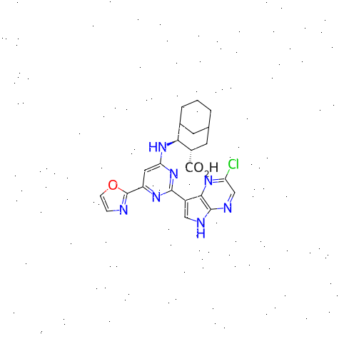 O=C(O)[C@H]1CC2CCCC(C2)[C@@H]1Nc1cc(-c2ncco2)nc(-c2c[nH]c3ncc(Cl)nc23)n1